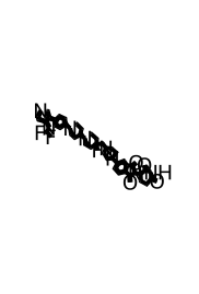 O=C1CCC(N2C(=O)c3ccc(N4CCN(CC5(F)CCN(C6CCN(c7ccc8c9cnccc9n(C(F)F)c8c7)CC6)CC5)CC4)cc3C2=O)C(=O)N1